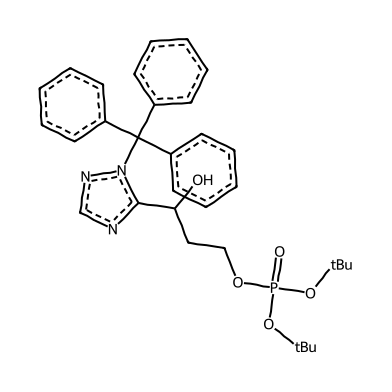 CC(C)(C)OP(=O)(OCCC(O)c1ncnn1C(c1ccccc1)(c1ccccc1)c1ccccc1)OC(C)(C)C